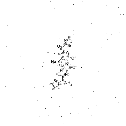 NC(C(=O)NC1C(=O)N2C(C(=O)[O-])=C(CSC(=O)c3nccs3)CS[C@H]12)c1cccs1.[Na+]